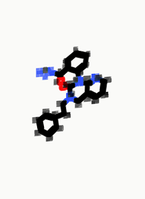 NC(=O)c1ccccc1N1C(=O)N(CCc2ccccc2)Cc2cccnc21